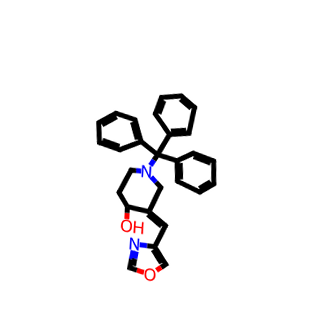 OC1CCN(C(c2ccccc2)(c2ccccc2)c2ccccc2)C/C1=C/c1cocn1